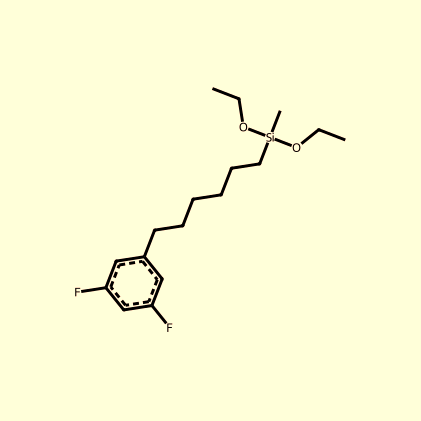 CCO[Si](C)(CCCCCCc1cc(F)cc(F)c1)OCC